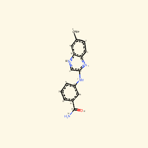 COc1ccc2nc(Nc3cccc(C(N)=O)c3)cnc2c1